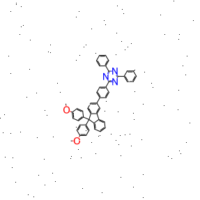 COc1ccc(C2(c3ccc(OC)cc3)c3ccccc3-c3cc(-c4ccc(-c5nc(-c6ccccc6)nc(-c6ccccc6)n5)cc4)ccc32)cc1